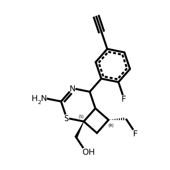 C#Cc1ccc(F)c(C2N=C(N)S[C@@]3(CO)C[C@@H](CF)C23)c1